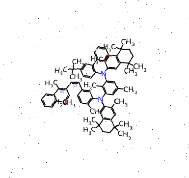 C=CC(/C=C\c1ccc(C)c(N(c2cc3c(cc2C)C(C)(C)CCC3(C)C)c2cc(C)cc(N(c3cc4c(cc3C)C(C)(C)CCC4(C)C)c3ccc(C(C)(C)C)cc3-c3ccccc3)c2C)c1)=C(/C)c1ccccc1C